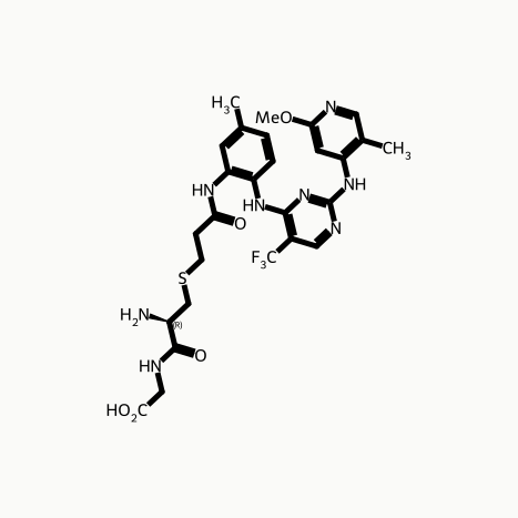 COc1cc(Nc2ncc(C(F)(F)F)c(Nc3ccc(C)cc3NC(=O)CCSC[C@H](N)C(=O)NCC(=O)O)n2)c(C)cn1